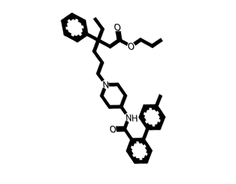 CCCOC(=O)CC(CC)(CCCN1CCC(NC(=O)c2ccccc2-c2ccc(C)cc2)CC1)c1ccccc1